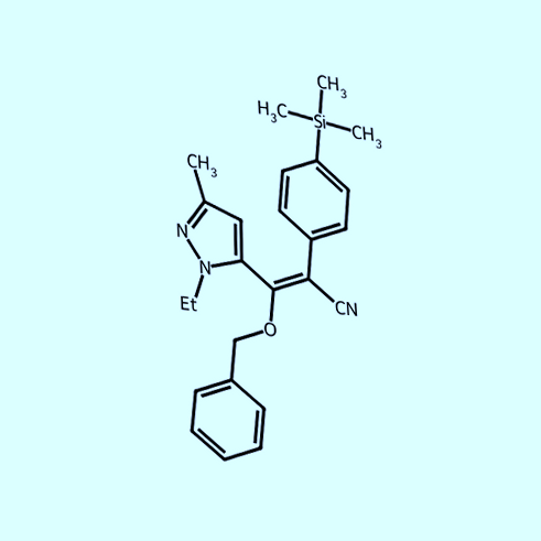 CCn1nc(C)cc1/C(OCc1ccccc1)=C(/C#N)c1ccc([Si](C)(C)C)cc1